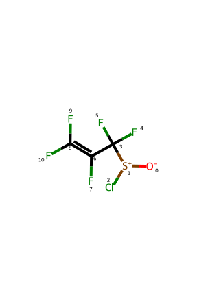 [O-][S+](Cl)C(F)(F)C(F)=C(F)F